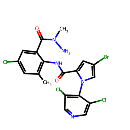 Cc1cc(Cl)cc(C(=O)N(C)N)c1NC(=O)c1cc(Br)cn1-c1c(Cl)cncc1Cl